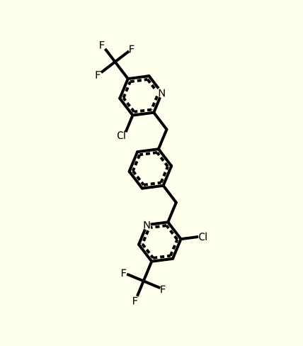 FC(F)(F)c1cnc(Cc2cccc(Cc3ncc(C(F)(F)F)cc3Cl)c2)c(Cl)c1